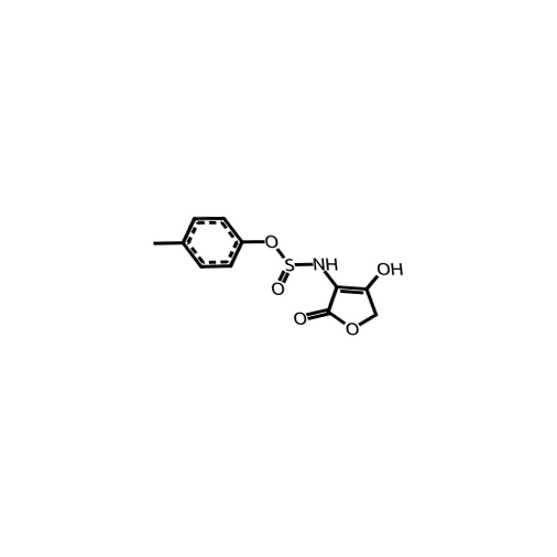 Cc1ccc(OS(=O)NC2=C(O)COC2=O)cc1